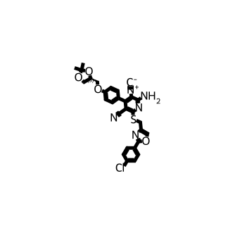 [C-]#[N+]c1c(N)nc(SCc2coc(-c3ccc(Cl)cc3)n2)c(C#N)c1-c1ccc(OC[C@H]2COC(C)(C)O2)cc1